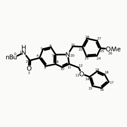 CCCCNC(=O)c1ccc2c(c1)cc(COc1ccccc1)n2Cc1ccc(OC)cc1